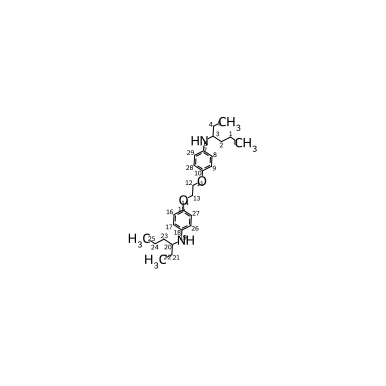 CCCC(CC)Nc1ccc(OCCOc2ccc(NC(CC)CCC)cc2)cc1